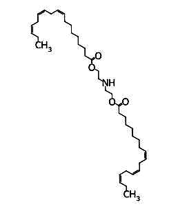 CC/C=C\C/C=C\C/C=C\CCCCCCCC(=O)OCCNCCOC(=O)CCCCCCC/C=C\C/C=C\C/C=C\CC